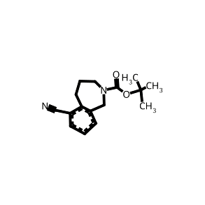 CC(C)(C)OC(=O)N1CCCc2c(C#N)cccc2C1